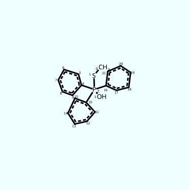 CSP(O)(c1ccccc1)(c1ccccc1)c1ccccc1